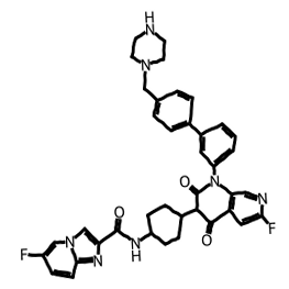 O=C(NC1CCC(C2C(=O)c3cc(F)ncc3N(c3cccc(-c4ccc(CN5CCNCC5)cc4)c3)C2=O)CC1)c1cn2cc(F)ccc2n1